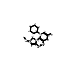 CON1C=C2N=NC3=C(N2C1)N(C1CCCCC1)C=C(C)C3